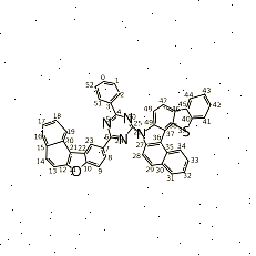 c1ccc(-c2nc(-c3ccc4oc5ccc6ccccc6c5c4c3)nc(-n3c4ccc5ccccc5c4c4c5sc6ccccc6c5ccc43)n2)cc1